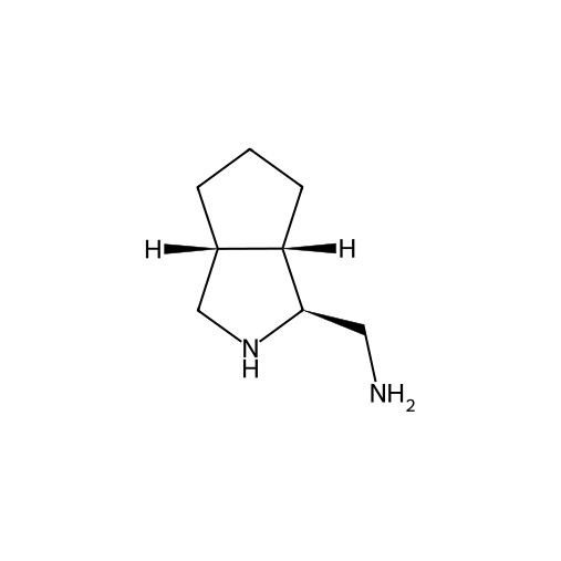 NC[C@H]1NC[C@@H]2CCC[C@@H]21